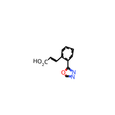 O=C(O)C=Cc1ccccc1-c1nnco1